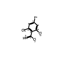 N=C(Cl)c1c(Cl)cc(F)cc1Cl